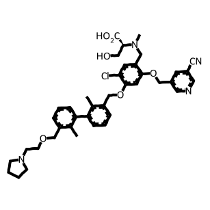 Cc1c(COCCN2CCCC2)cccc1-c1cccc(COc2cc(OCc3cncc(C#N)c3)c(CN(C)[C@@H](CO)C(=O)O)cc2Cl)c1C